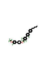 CCCCCc1ccc(-c2ccc(-c3cc(F)c(C(F)(F)OC4CCC(c5ccc(OC(F)(F)F)c(F)c5)CC4)c(F)c3)c(F)c2)cc1